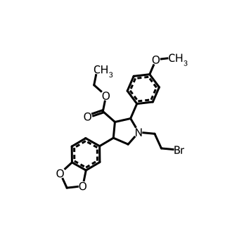 CCOC(=O)C1C(c2ccc3c(c2)OCO3)CN(CCBr)C1c1ccc(OC)cc1